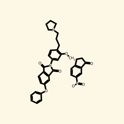 COc1cc(N2C(=O)c3ccc(Oc4ccccc4)cc3C2=O)ccc1CCCN1CCCC1.O=C1CCc2ccc([N+](=O)[O-])cc21